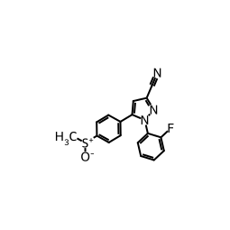 C[S+]([O-])c1ccc(-c2cc(C#N)nn2-c2ccccc2F)cc1